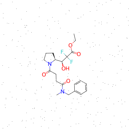 CCOC(=O)C(F)(F)[C@@H](O)[C@@H]1CCCN1C(=O)CCC(=O)N(C)Cc1ccccc1